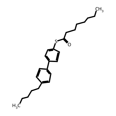 CCCCCCCC(=O)Sc1ccc(-c2ccc(CCCCC)cc2)cc1